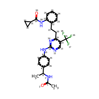 CC(=O)NC(C)c1ccc(Nc2ncc(C(F)(F)F)c(CCc3ccccc3NC(=O)C3CC3)n2)cc1